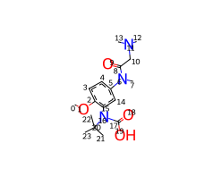 COc1ccc(N(C)C(=O)CN(C)C)cc1N(C(=O)O)C(C)(C)C